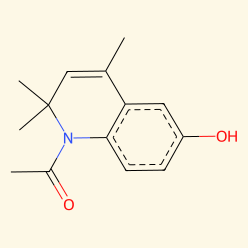 CC(=O)N1c2ccc(O)cc2C(C)=CC1(C)C